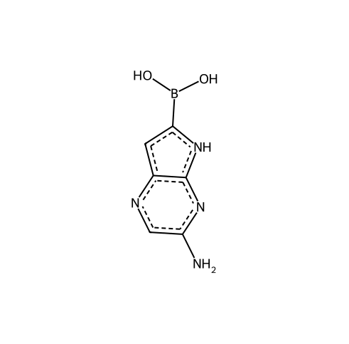 Nc1cnc2cc(B(O)O)[nH]c2n1